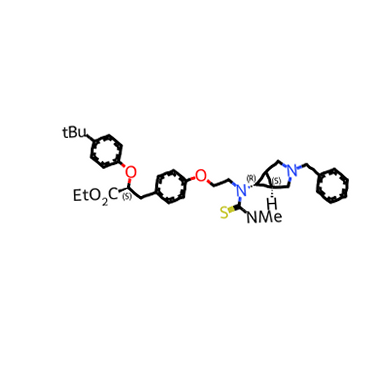 CCOC(=O)[C@H](Cc1ccc(OCCN(C(=S)NC)[C@@H]2C3CN(Cc4ccccc4)C[C@H]32)cc1)Oc1ccc(C(C)(C)C)cc1